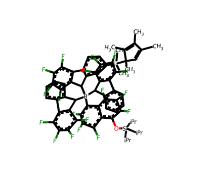 CC1=[C]C(C)([Si](C)(C)c2ccc3c(c2)C([B-](c2c(F)c(F)c(F)c4c(O[Si](C(C)C)(C(C)C)C(C)C)c(F)c(F)c(F)c24)(C2c4ccccc4-c4c(F)c(F)c(F)c(F)c42)C2c4ccccc4-c4c(F)c(F)c(F)c(F)c42)c2c(F)c(F)c(F)c(F)c2-3)C(C)=C1C